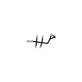 COC(F)(F)C(F)(F)CC1CO1